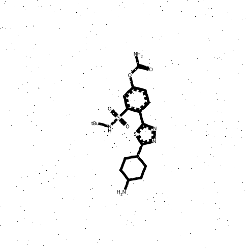 CC(C)(C)NS(=O)(=O)c1cc(OC(N)=O)ccc1-c1nnc(C2CCC(N)CC2)s1